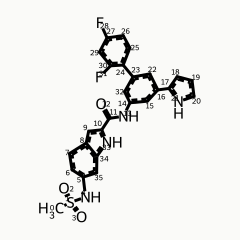 CS(=O)(=O)Nc1ccc2cc(C(=O)Nc3cc(-c4ccc[nH]4)cc(-c4ccc(F)cc4F)c3)[nH]c2c1